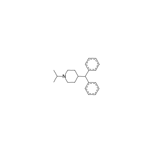 CC(C)N1CCC(C(c2ccccc2)c2ccccc2)CC1